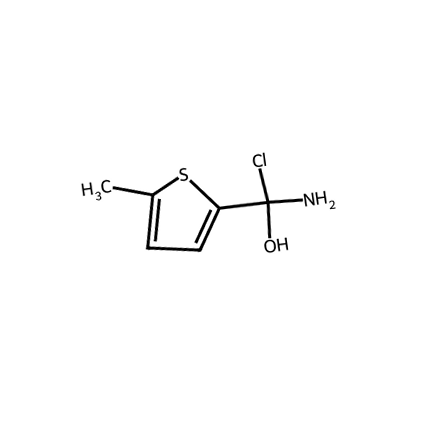 Cc1ccc(C(N)(O)Cl)s1